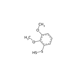 COc1cccc(SS)c1OC